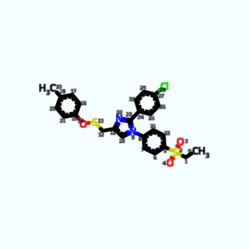 CCS(=O)(=O)c1ccc(-n2cc(CSOc3ccc(C)cc3)nc2-c2ccc(Cl)cc2)cc1